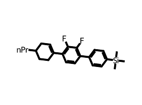 CCCC1CC=C(c2ccc(-c3ccc([Si](C)(C)C)cc3)c(F)c2F)CC1